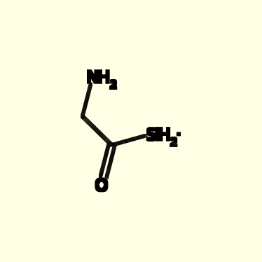 NCC(=O)[SiH2]